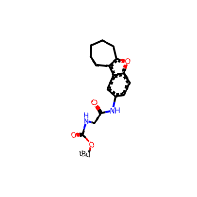 CC(C)(C)OC(=O)NCC(=O)Nc1ccc2oc3c(c2c1)CCCCC3